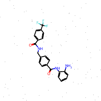 Nc1ccccc1NC(=O)c1ccc(CNC(=O)c2ccc(C(F)(F)F)cc2)cc1